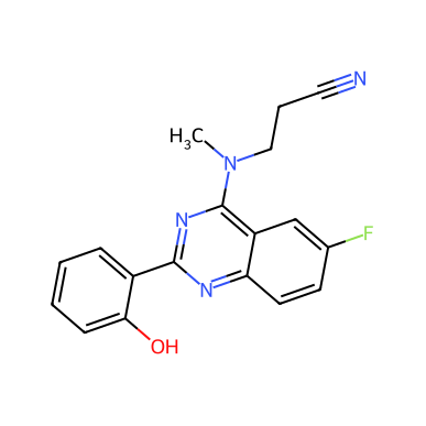 CN(CCC#N)c1nc(-c2ccccc2O)nc2ccc(F)cc12